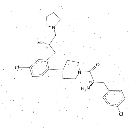 CC[C@@H](Cc1cc(Cl)ccc1C1CCN(C(=O)[C@H](N)Cc2ccc(Cl)cc2)CC1)CN1CCCC1